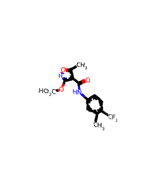 Cc1cc(NC(=O)c2c(OC(=O)O)noc2C)ccc1C(F)(F)F